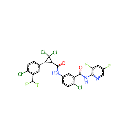 O=C(Nc1ncc(F)cc1F)c1cc(NC(=O)[C@H]2[C@H](c3ccc(Cl)c(C(F)F)c3)C2(Cl)Cl)ccc1Cl